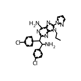 CCCn1c(-n2cccn2)nc2c(N)nc(C(c3ccc(Cl)cc3)C(N)c3ccc(Cl)cc3)nc21